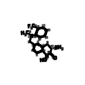 CN(Cc1ccc2c(c1)C[C@H](N)C(=O)N2O)c1ccccc1C(F)(F)F